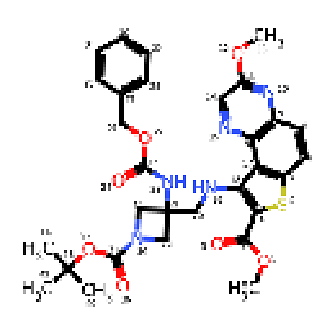 COC(=O)c1sc2ccc3nc(OC)cnc3c2c1NCC1(NC(=O)OCc2ccccc2)CN(C(=O)OC(C)(C)C)C1